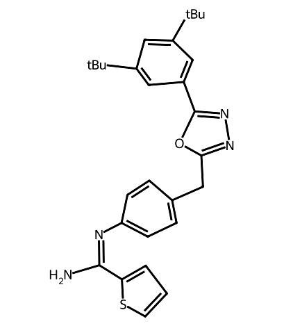 CC(C)(C)c1cc(-c2nnc(Cc3ccc(/N=C(/N)c4cccs4)cc3)o2)cc(C(C)(C)C)c1